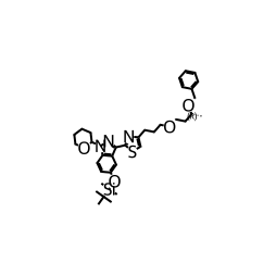 C[C@H](CCOCCCc1csc(-c2nn(C3CCCCO3)c3ccc(O[Si](C)(C)C(C)(C)C)cc23)n1)OCc1ccccc1